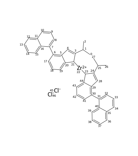 CC(C)C1=Cc2c(-c3cccc4ccccc34)cccc2[CH]1[Zr+2][CH]1C(C(C)C)=Cc2c(-c3cccc4ccccc34)cccc21.[Cl-].[Cl-]